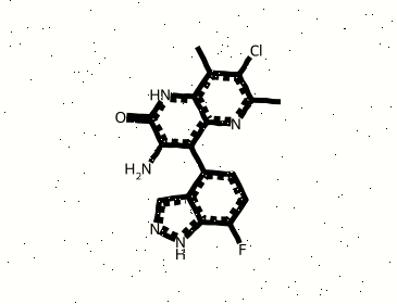 Cc1nc2c(-c3ccc(F)c4[nH]ncc34)c(N)c(=O)[nH]c2c(C)c1Cl